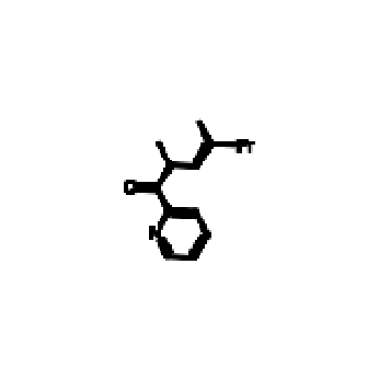 C/C(=C\[C@H](C)C(=O)c1ccccn1)C(C)C